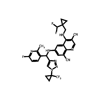 Cc1nc(F)ccc1C(Nc1cc(C#N)c2ncc(C#N)c(NCC3(C(F)F)CC3)c2c1)c1cn(C2(C(F)(F)F)CC2)nn1